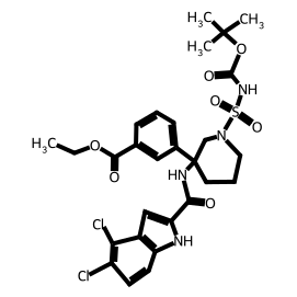 CCOC(=O)c1cccc(C2(NC(=O)c3cc4c(Cl)c(Cl)ccc4[nH]3)CCCN(S(=O)(=O)NC(=O)OC(C)(C)C)C2)c1